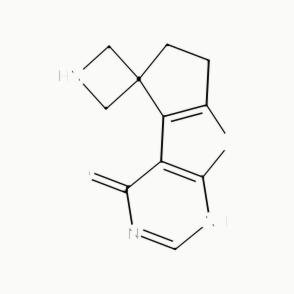 O=c1nc[nH]c2sc3c(c12)C1(CC3)CNC1